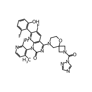 Cc1ccnc(C(C)C)c1-n1c(=O)nc(N2CCOC3(CN(C(=O)n4cncn4)C3)C2)c2cc(F)c(-c3c(O)cccc3F)nc21